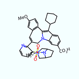 COc1ccc2c(c1)C=C(c1ncccc1S(=O)(=O)N1C3CCC1CN(C)C3)Cn1c-2c(C2CCCCC2)c2ccc(C(=O)O)cc21